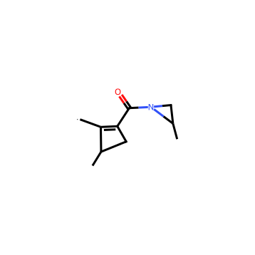 [CH2]C1=C(C(=O)N2CC2C)CC1C